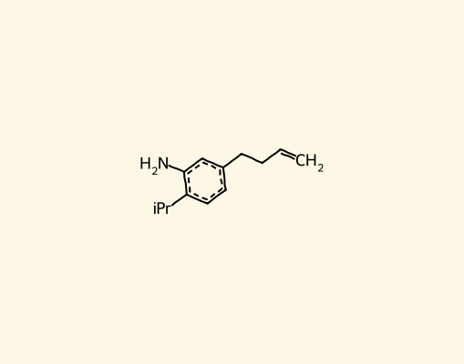 C=CCCc1ccc(C(C)C)c(N)c1